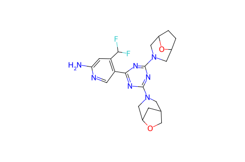 Nc1cc(C(F)F)c(-c2nc(N3CC4COC(C4)C3)nc(N3CC4CCC(C3)O4)n2)cn1